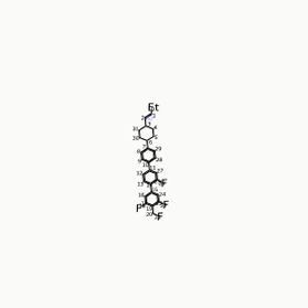 CC/C=C/C1CCC(c2ccc(-c3ccc(-c4cc(F)c(CF)c(F)c4)c(F)c3)cc2)CC1